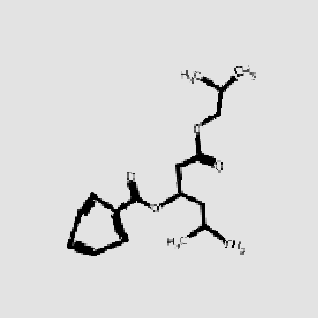 CC(C)COC(=O)CC(CC(C)C)OC(=O)c1ccccc1